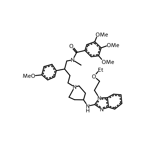 CCOCCn1c(NC2CCN(CCC(CN(C)C(=O)c3cc(OC)c(OC)c(OC)c3)c3ccc(OC)cc3)CC2)nc2ccccc21